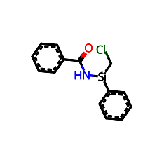 O=C(N[Si](CCl)c1ccccc1)c1ccccc1